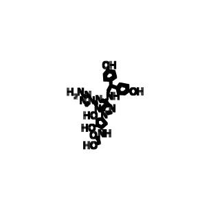 Nc1ncn(-c2nc(NCC(c3ccc(O)cc3)c3ccc(O)cc3)c3ncn([C@@H]4C[C@H](NC(=O)CO)[C@@H](O)[C@H]4O)c3n2)n1